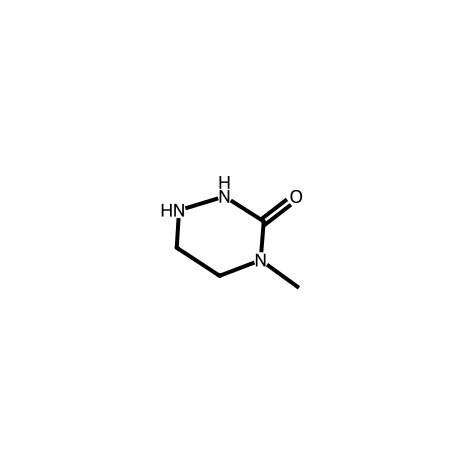 CN1CCNNC1=O